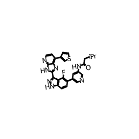 CC(C)CC(=O)Nc1cncc(-c2ccc3[nH]nc(-c4nc5c(-c6ccsc6)ccnc5[nH]4)c3c2F)c1